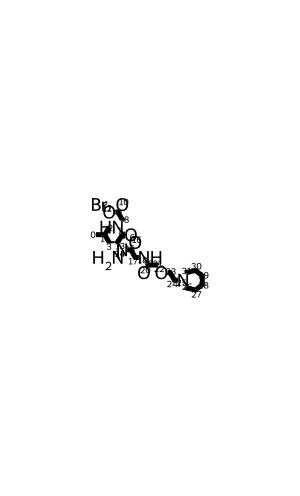 CC(C)C[C@@H](C(=O)NCC(=O)OBr)N(N)C(=O)CNC(=O)COCCN1CCCCCC1